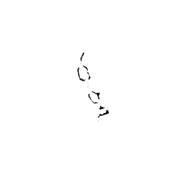 C[N+]1(c2ncc([N+](=O)[O-])s2)CCN(N2CCN(CCO)CC2)C1=O